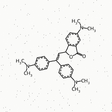 CN(C)c1ccc(C(=CC2OC(=O)c3cc(N(C)C)ccc32)c2ccc(N(C)C)cc2)cc1